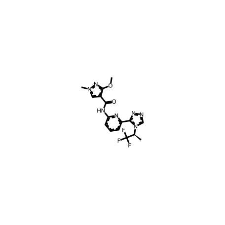 COc1nn(C)cc1C(=O)Nc1cccc(-c2nncn2[C@@H](C)C(F)(F)F)n1